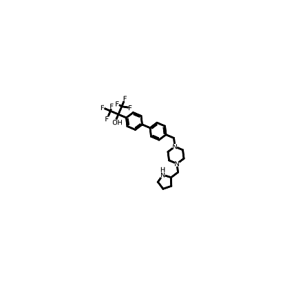 OC(c1ccc(-c2ccc(CN3CCN(CC4CCCN4)CC3)cc2)cc1)(C(F)(F)F)C(F)(F)F